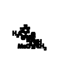 COC1=C(CNC(=O)c2ccccc2C)C(=C=O)NC(C)=C1